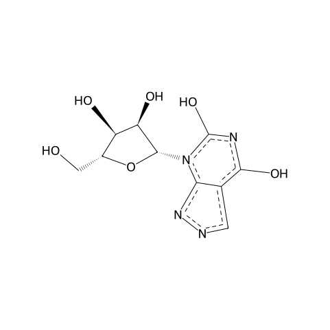 OC[C@H]1O[C@@H](n2c(O)nc(O)c3cnnc2-3)[C@H](O)[C@@H]1O